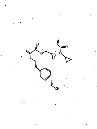 C=C(CC=Cc1ccccc1)C(=O)OCC1CO1.C=CC#N.C=CC(=O)OC1CC1